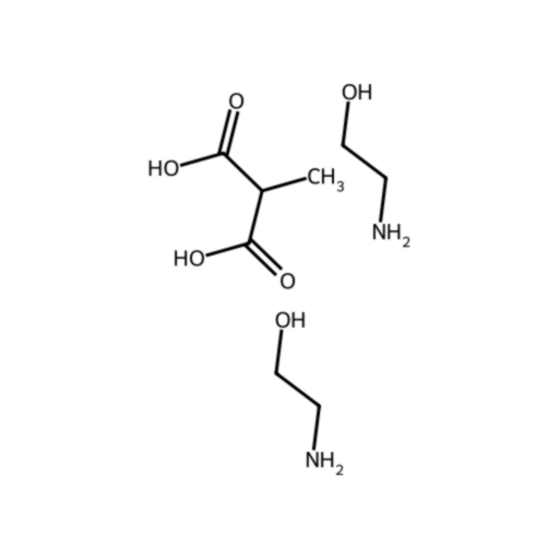 CC(C(=O)O)C(=O)O.NCCO.NCCO